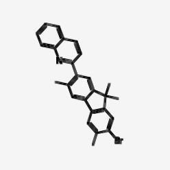 Cc1cc2c(cc1Br)C(C)(C)c1cc(-c3ccc4ccccc4n3)c(C)cc1-2